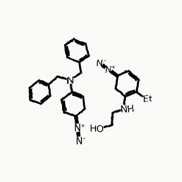 CCC1=C(NCCO)CC(=[N+]=[N-])C=C1.[N-]=[N+]=C1C=CC(N(Cc2ccccc2)Cc2ccccc2)=CC1